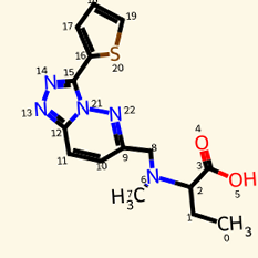 CCC(C(=O)O)N(C)Cc1ccc2nnc(-c3cccs3)n2n1